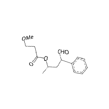 COCCC(=O)OC(C)CC(C=O)c1ccccc1